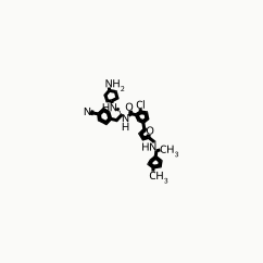 Cc1ccc(C(C)NCc2ccc(-c3ccc(Cl)c(C(=O)N[C@@H](CNC4CCC(N)CC4)Cc4ccc(C#N)cc4)c3)o2)cc1